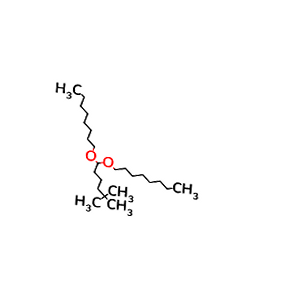 CCCCCCCCOC(CCCC(C)(C)C)OCCCCCCCC